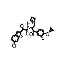 O=C(NC(CN1CCC1)C(O)c1ccc(OC2CC2)c(F)c1)C(=O)c1cc2ccc(Cl)cc2s1